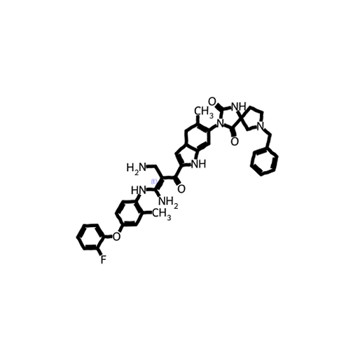 CC1=C(N2C(=O)NC3(CCN(Cc4ccccc4)C3)C2=O)C=C2NC(C(=O)/C(CN)=C(\N)Nc3ccc(Oc4ccccc4F)cc3C)=CC2C1